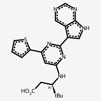 CC(C)(C)[C@@H](CC(=O)O)Nc1cc(-c2cccs2)nc(-c2c[nH]c3ncncc23)n1